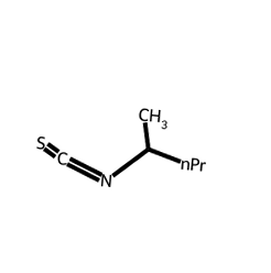 CCCC(C)N=C=S